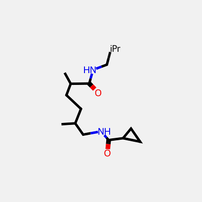 CC(C)CNC(=O)C(C)CCC(C)CNC(=O)C1CC1